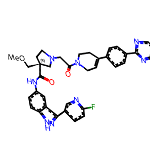 COC[C@@]1(C(=O)Nc2ccc3[nH]nc(-c4ccc(F)nc4)c3c2)CCN(CC(=O)N2CC=C(c3ccc(-c4ncccn4)cc3)CC2)C1